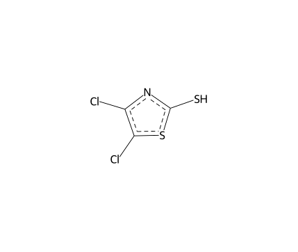 Sc1nc(Cl)c(Cl)s1